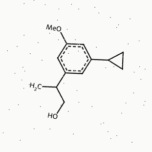 [CH2]C(CO)c1cc(OC)cc(C2CC2)c1